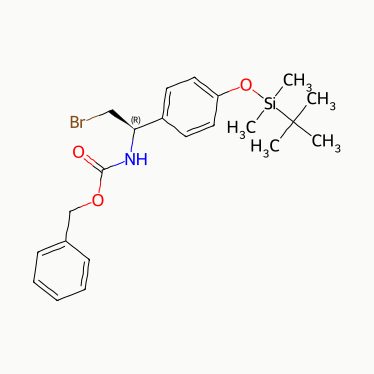 CC(C)(C)[Si](C)(C)Oc1ccc([C@H](CBr)NC(=O)OCc2ccccc2)cc1